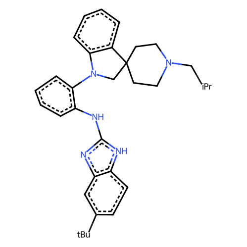 CC(C)CN1CCC2(CC1)CN(c1ccccc1Nc1nc3cc(C(C)(C)C)ccc3[nH]1)c1ccccc12